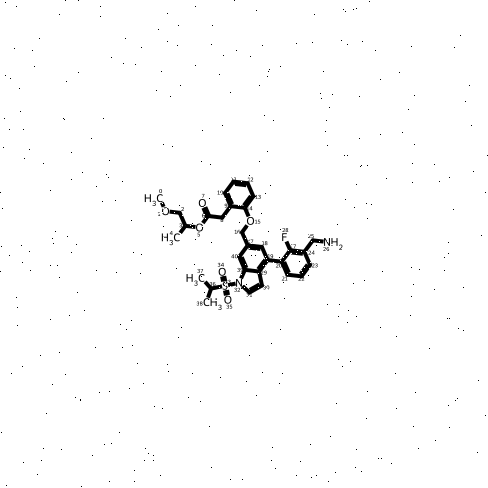 COCC(C)OC(=O)Cc1ccccc1OCc1cc(-c2cccc(CN)c2F)c2ccn(S(=O)(=O)C(C)C)c2c1